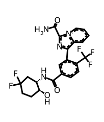 NC(=O)c1nc(-c2cc(C(=O)N[C@H]3CC(F)(F)CC[C@@H]3O)ccc2C(F)(F)F)c2ccccn12